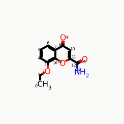 CCOc1cccc2c(=O)cc(C(N)=O)oc12